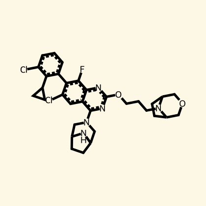 Fc1c(-c2cccc(Cl)c2C2CC2)c(Cl)cc2c(N3CC4CCC(C3)N4)nc(OCCCN3C4CCC3COC4)nc12